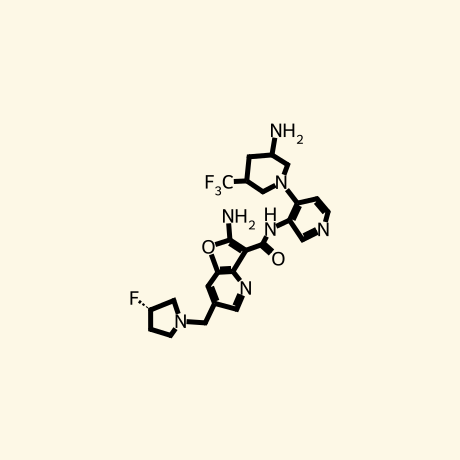 Nc1oc2cc(CN3CC[C@H](F)C3)cnc2c1C(=O)Nc1cnccc1N1CC(N)CC(C(F)(F)F)C1